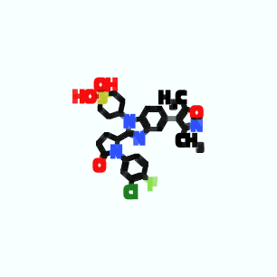 Cc1noc(C)c1-c1ccc2c(c1)nc(C1CCC(=O)N1c1ccc(F)c(Cl)c1)n2C1CCS(O)(O)CC1